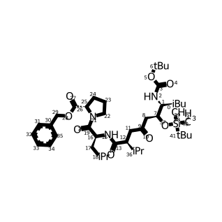 CC[C@H](C)[C@@H](NC(=O)OC(C)(C)C)[C@H](CC(=O)C[C@H](C(=O)N[C@@H](CC(C)C)C(=O)N1CCC[C@H]1C(=O)OCc1ccccc1)C(C)C)O[Si](C)(C)C(C)(C)C